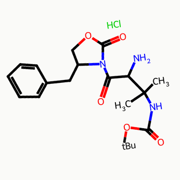 CC(C)(C)OC(=O)NC(C)(C)C(N)C(=O)N1C(=O)OCC1Cc1ccccc1.Cl